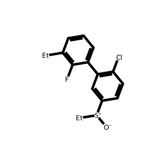 CCc1cccc(-c2cc([S+]([O-])CC)ccc2Cl)c1F